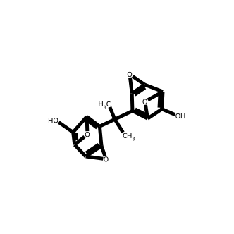 CC(C)(c1c2c(O)c(c3c1O3)O2)c1c2c(O)c(c3c1O3)O2